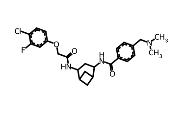 CN(C)Cc1ccc(C(=O)NC2CC(NC(=O)COc3ccc(Cl)c(F)c3)C3CC2C3)cc1